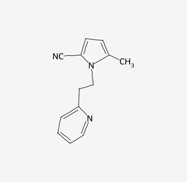 Cc1ccc(C#N)n1CCc1ccccn1